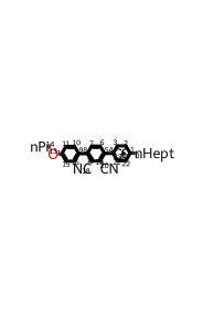 CCCCCCCC12CCC(c3ccc(-c4ccc(OCCC)cc4)c(C#N)c3C#N)(CC1)CC2